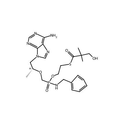 C[C@H](Cn1cnc2c(N)ncnc21)OCP(=O)(NCc1ccccc1)OCCSC(=O)C(C)(C)CO